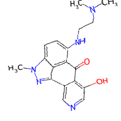 CN(C)CCNc1ccc2c3c(nn2C)-c2cncc(O)c2C(=O)c13